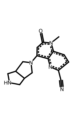 Cn1c(=O)cc(N2CC3CNCC3C2)c2nc(C#N)ccc21